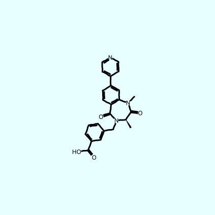 C[C@@H]1C(=O)N(C)c2cc(-c3ccncc3)ccc2C(=O)N1Cc1cccc(C(=O)O)c1